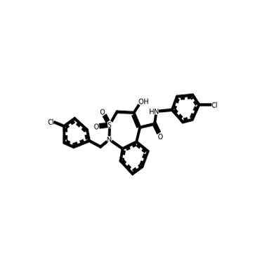 O=C(Nc1ccc(Cl)cc1)C1=C(O)CS(=O)(=O)N(Cc2ccc(Cl)cc2)c2ccccc21